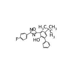 CC(C)(C)c1cc(-c2ccccc2)c(O)c(-c2nc(-c3ccc(F)cc3)no2)c1